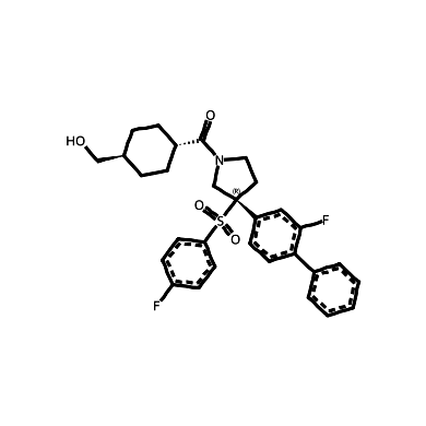 O=C([C@H]1CC[C@H](CO)CC1)N1CC[C@](c2ccc(-c3ccccc3)c(F)c2)(S(=O)(=O)c2ccc(F)cc2)C1